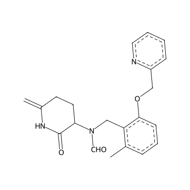 C=C1CCC(N(C=O)Cc2c(C)cccc2OCc2ccccn2)C(=O)N1